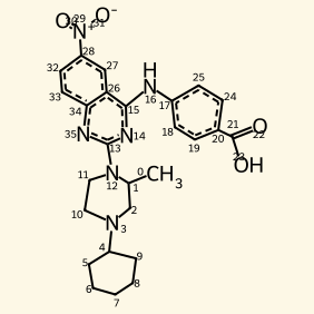 CC1CN(C2CCCCC2)CCN1c1nc(Nc2ccc(C(=O)O)cc2)c2cc([N+](=O)[O-])ccc2n1